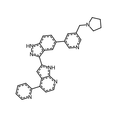 c1ccc(-c2ccnc3[nH]c(-c4n[nH]c5ccc(-c6cncc(CN7CCCC7)c6)cc45)cc23)nc1